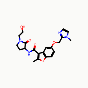 Cc1oc2ccc(OCc3nccn3C)cc2c1C(=O)NC1CCN(CCO)C1=O